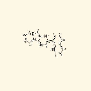 c1cnc2c(-c3cnc4c(n3)sc3ccccc34)cccc2c1